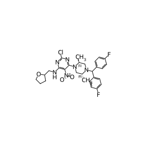 C[C@@H]1CN(c2nc(Cl)nc(NCC3CCCO3)c2[N+](=O)[O-])[C@@H](C)CN1C(c1ccc(F)cc1)c1ccc(F)cc1